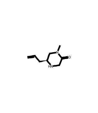 C=CC[C@H]1CN(C)C(=O)CN1